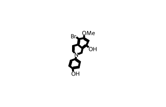 COc1cc(O)c2c(c1Br)C=CN(c1ccc(O)cc1)C2